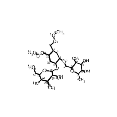 COOCC1CC(OCC2OC(C)C(O)C(O)C2O)C(OC2OC(CO)C(O)C(O)C2O)CC1OOC